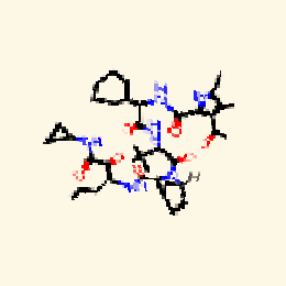 CCC[C@H](NC(=O)[C@@H]1C2CC[C@H](C2)N1C(=O)[C@@H](NC(=O)C(NC(=O)c1[nH]c(C)c(C)c1C(C)=O)C1CCCCC1)C(C)(C)C)C(=O)C(=O)NC1CC1